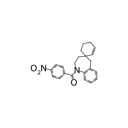 O=C(c1ccc([N+](=O)[O-])cc1)N1CCC2(C=CCCC2)Cc2ccccc21